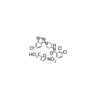 O=C(NC1CCN(c2ncnc3cc(Cl)ccc23)CC1)c1cccc(Cl)c1Cl.O=C(O)c1ccc([N+](=O)[O-])o1